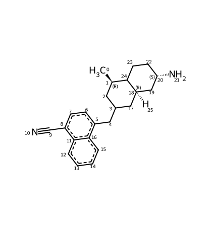 C[C@@H]1CC(Cc2ccc(C#N)c3ccccc23)C[C@@H]2C[C@@H](N)CCC21